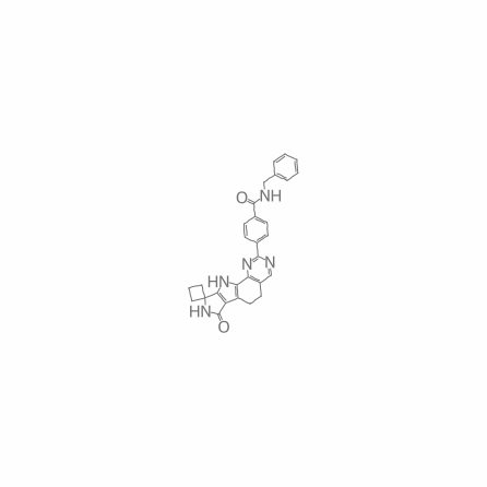 O=C(NCc1ccccc1)c1ccc(-c2ncc3c(n2)-c2[nH]c4c(c2CC3)C(=O)NC42CCC2)cc1